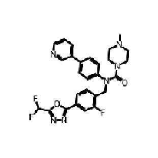 CN1CCN(C(=O)N(Cc2ccc(-c3nnc(C(F)F)o3)cc2F)c2ccc(-c3cccnc3)cc2)CC1